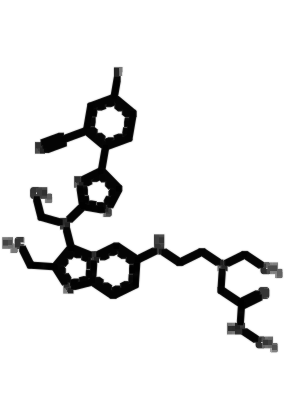 CCc1nc2ccc(NCCN(CC)CC(=O)NC)cn2c1N(CC)c1nc(-c2ccc(F)cc2C#N)cs1